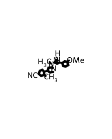 COc1cccc(-c2cc(N(C)c3cc(-c4ccc(C#N)cc4C)ccn3)n[nH]2)c1